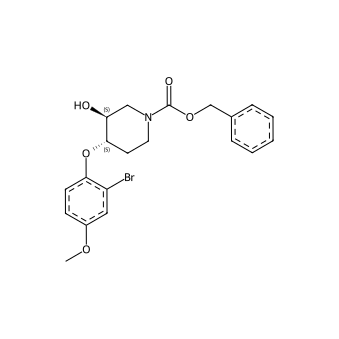 COc1ccc(O[C@H]2CCN(C(=O)OCc3ccccc3)C[C@@H]2O)c(Br)c1